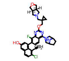 C#Cc1c(Cl)ccc2cc(O)cc(-c3c(C)cc4c(N5CC6CCC(C5)N6)nc(OCC5(CN6C[C@H]7COC[C@@H]7C6)CC5)nc4c3F)c12